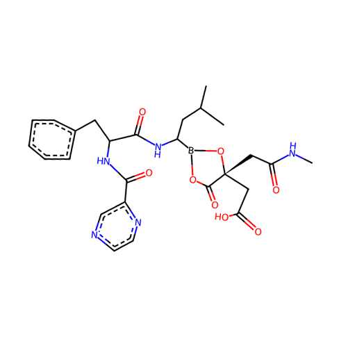 CNC(=O)C[C@]1(CC(=O)O)OB(C(CC(C)C)NC(=O)C(Cc2ccccc2)NC(=O)c2cnccn2)OC1=O